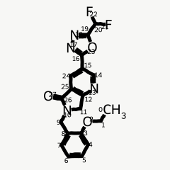 CCOc1ccccc1CN1Cc2ncc(-c3nnc(C(F)F)o3)cc2C1=O